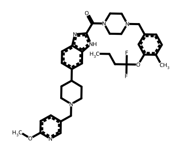 CCCC(F)(F)Oc1cc(CN2CCN(C(=O)c3nc4ccc(C5CCN(Cc6ccc(OC)nc6)CC5)cc4[nH]3)CC2)ccc1C